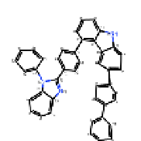 c1ccc(-c2ccc(-c3ccc4[nH]c5cccc(-c6ccc(-c7nc8ccccc8n7-c7ccccc7)cc6)c5c4c3)cc2)cc1